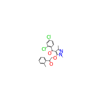 Cc1ccccc1C(=O)COc1c(C(=O)c2ccc(Cl)cc2Cl)c(C)nn1C